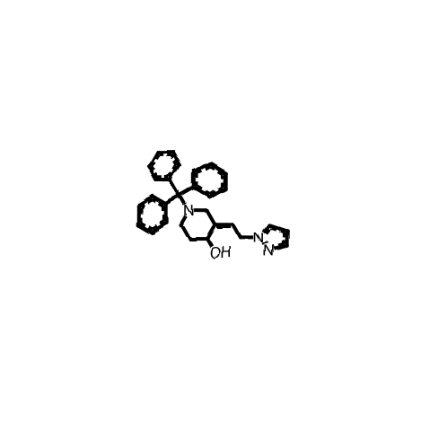 OC1CCN(C(c2ccccc2)(c2ccccc2)c2ccccc2)CC1=CCn1cccn1